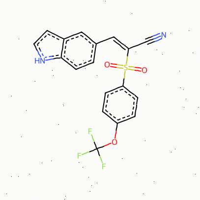 N#CC(=Cc1ccc2[nH]ccc2c1)S(=O)(=O)c1ccc(OC(F)(F)F)cc1